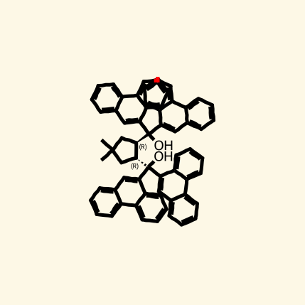 CC1(C)C[C@@H](C(O)(c2cc3ccccc3c3ccccc23)c2cc3ccccc3c3ccccc23)[C@H](C(O)(c2cc3ccccc3c3ccccc23)c2cc3ccccc3c3ccccc23)C1